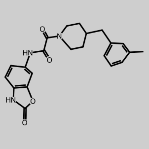 Cc1cccc(CC2CCN(C(=O)C(=O)Nc3ccc4[nH]c(=O)oc4c3)CC2)c1